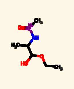 CCOC(O)C(C)N[PH](C)=O